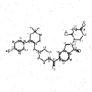 CC1(C)CCC(CN2CCN(C(=O)c3ccc4c(c3)CN(C3CCC(=O)NC3=O)C4=O)CC2)=C(c2ccc(F)cc2)C1